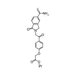 CC(C)OC(=O)COc1ccc(C(=O)CN2Cc3cc(C(N)=S)ccc3C2=O)cc1